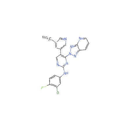 CCOC(=O)c1cncc(-c2cnc(Nc3ccc(F)c(Cl)c3)nc2-n2nc3cccnc3n2)c1